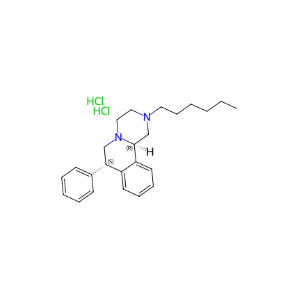 CCCCCCN1CCN2C[C@@H](c3ccccc3)c3ccccc3[C@@H]2C1.Cl.Cl